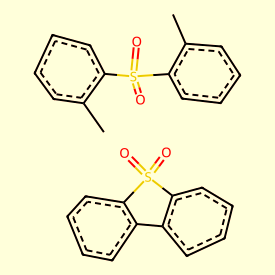 Cc1ccccc1S(=O)(=O)c1ccccc1C.O=S1(=O)c2ccccc2-c2ccccc21